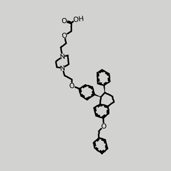 O=C(O)COCCN1CCN(CCOc2ccc([C@@H]3c4ccc(OCc5ccccc5)cc4CC[C@@H]3c3ccccc3)cc2)CC1